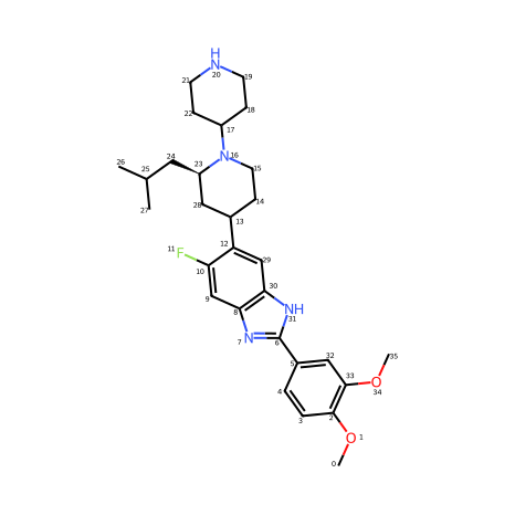 COc1ccc(-c2nc3cc(F)c(C4CCN(C5CCNCC5)[C@H](CC(C)C)C4)cc3[nH]2)cc1OC